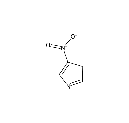 O=[N+]([O-])C1=CN=CC1